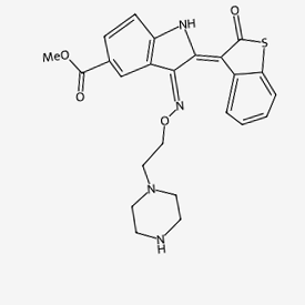 COC(=O)c1ccc2c(c1)C(=N\OCCN1CCNCC1)/C(=C1/C(=O)Sc3ccccc31)N2